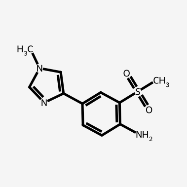 Cn1cnc(-c2ccc(N)c(S(C)(=O)=O)c2)c1